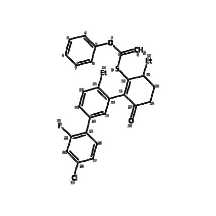 C=C(Oc1ccccc1)SC1=C(c2cc(-c3ccc(Cl)cc3F)ccc2CC)C(=O)CCC1CC